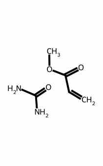 C=CC(=O)OC.NC(N)=O